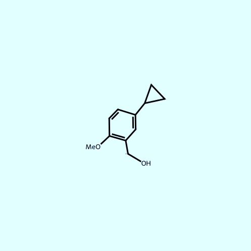 COc1ccc(C2CC2)cc1[CH]O